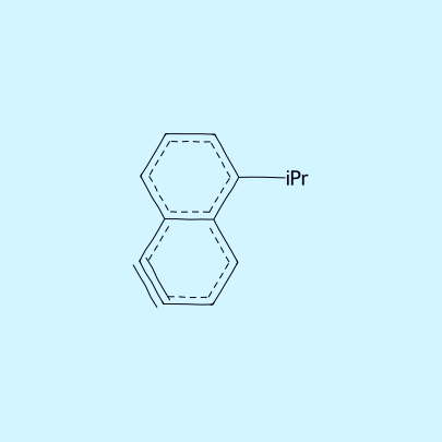 CC(C)c1cccc2c#cccc12